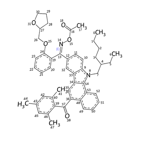 CCCCC(CC)Cn1c2ccc(/C(=N\OC(C)=O)c3ccccc3OCC3CCCO3)cc2c2cc(C(=O)c3c(C)cc(C)cc3C)c3ccccc3c21